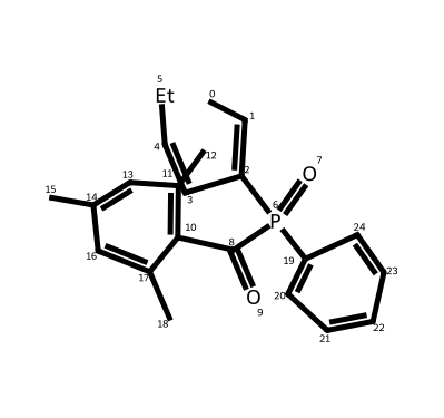 C/C=C(\C=C/CC)P(=O)(C(=O)c1c(C)cc(C)cc1C)c1ccccc1